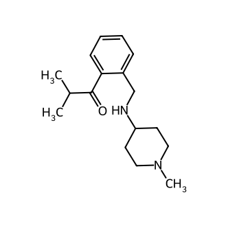 CC(C)C(=O)c1ccccc1CNC1CCN(C)CC1